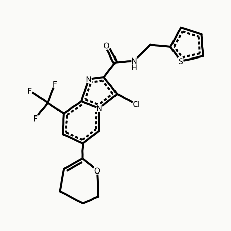 O=C(NCc1cccs1)c1nc2c(C(F)(F)F)cc(C3=CCCCO3)cn2c1Cl